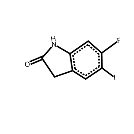 O=C1Cc2cc(I)c(F)cc2N1